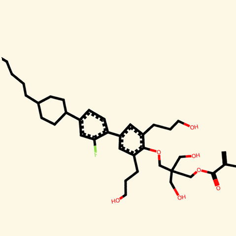 C=C(C)C(=O)OCC(CO)(CO)COc1c(CCCO)cc(-c2ccc(C3CCC(CCCCC)CC3)cc2F)cc1CCCO